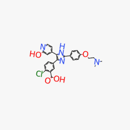 CN(C)CCOc1ccc(-c2nc(-c3ccc(Cl)c(C(=O)O)c3)c(-c3ccnc(O)c3)[nH]2)cc1